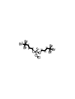 S=P(OCl)(OCCCC(Br)(Br)Br)OCCCC(Br)(Br)Br